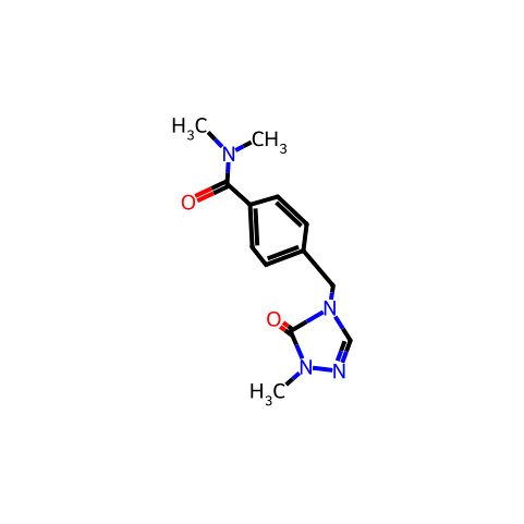 CN(C)C(=O)c1ccc(Cn2cnn(C)c2=O)cc1